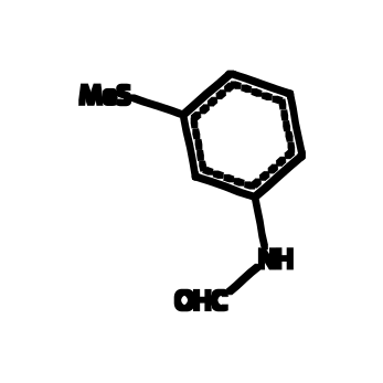 CSc1cccc(NC=O)c1